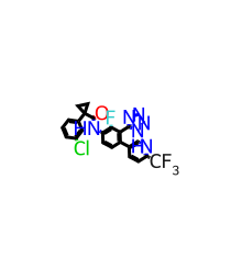 O=C(Nc1ccc(-c2ccc(C(F)(F)F)nc2)c(-c2nnn[nH]2)c1F)C1(c2cccc(Cl)c2)CC1